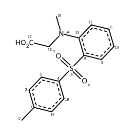 Cc1ccc(S(=O)(=O)c2ccccc2N(C)CC(=O)O)cc1